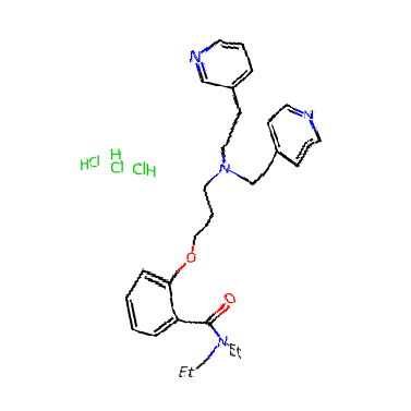 CCN(CC)C(=O)c1ccccc1OCCCN(CCc1cccnc1)Cc1ccncc1.Cl.Cl.Cl